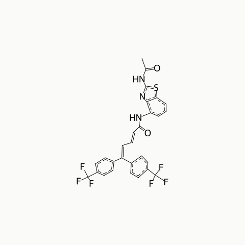 CC(=O)Nc1nc2c(NC(=O)C=CC=C(c3ccc(C(F)(F)F)cc3)c3ccc(C(F)(F)F)cc3)cccc2s1